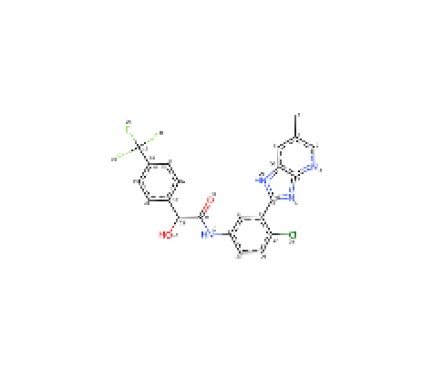 Cc1cnc2nc(-c3cc(NC(=O)C(O)c4ccc(C(F)(F)F)cc4)ccc3Cl)[nH]c2c1